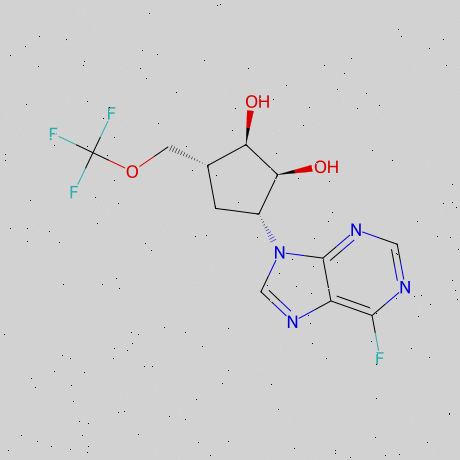 O[C@@H]1[C@@H](COC(F)(F)F)C[C@@H](n2cnc3c(F)ncnc32)[C@@H]1O